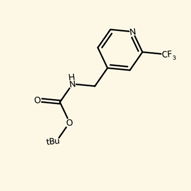 CC(C)(C)OC(=O)NCc1ccnc(C(F)(F)F)c1